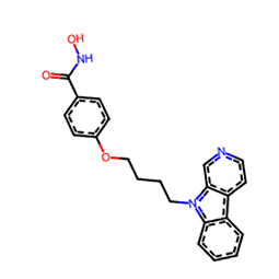 O=C(NO)c1ccc(OCCCCn2c3ccccc3c3ccncc32)cc1